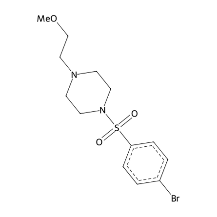 COCCN1CCN(S(=O)(=O)c2ccc(Br)cc2)CC1